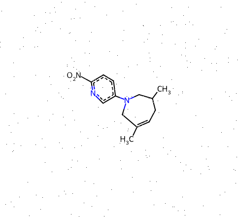 CC1=CCC(C)CN(c2ccc([N+](=O)[O-])nc2)C1